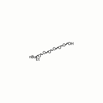 CCCCC(CC)COCCOCCOCCOCCOCCOCCO